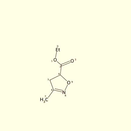 CCOC(=O)C1CC(C)=NO1